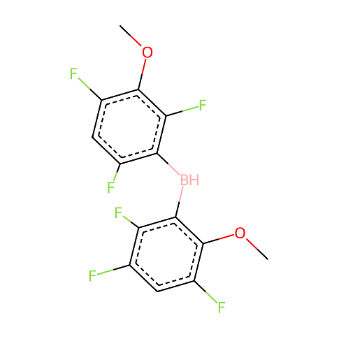 COc1c(F)cc(F)c(Bc2c(F)c(F)cc(F)c2OC)c1F